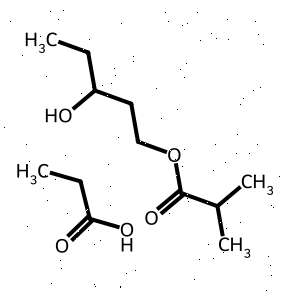 CCC(=O)O.CCC(O)CCOC(=O)C(C)C